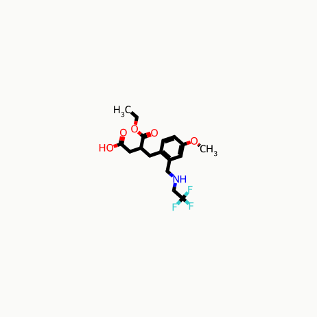 CCOC(=O)C(CC(=O)O)Cc1ccc(OC)cc1CNCC(F)(F)F